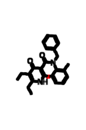 CCc1[nH]c(C)c(C(=O)N(Cc2ccccc2)c2c(C)cccc2C)c(=O)c1CC